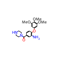 COc1cc(Oc2ccc(C(=O)N3CCNCC3)cc2N)cc(OC)c1OC